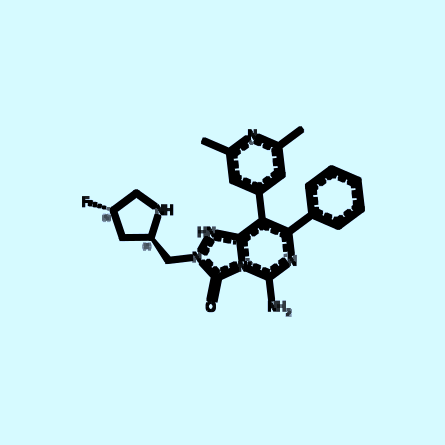 Cc1cc(-c2c(-c3ccccc3)nc(N)[n+]3c(=O)n(C[C@H]4C[C@H](F)CN4)[nH]c23)cc(C)n1